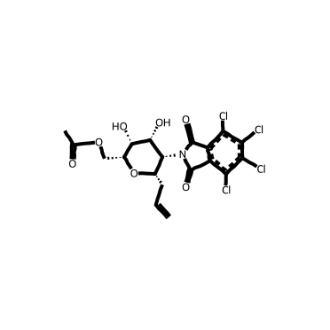 C=CC[C@@H]1O[C@H](COC(C)=O)[C@H](O)[C@H](O)[C@@H]1N1C(=O)c2c(Cl)c(Cl)c(Cl)c(Cl)c2C1=O